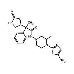 CC(C(=O)NN1CCN(c2nnc(N)s2)C(F)C1)(c1ccccc1)C1CNC(=O)O1